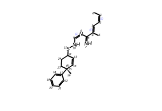 C/C=C\C=C(/C)C(=N)/N=C\NSC1C=C[C@](C)(c2ccccc2)CC1